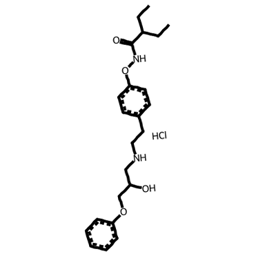 CCC(CC)C(=O)NOc1ccc(CCNCC(O)COc2ccccc2)cc1.Cl